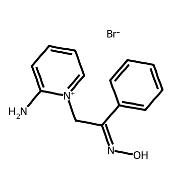 Nc1cccc[n+]1C/C(=N/O)c1ccccc1.[Br-]